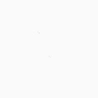 CC(CCc1nc2ccccc2s1)SN